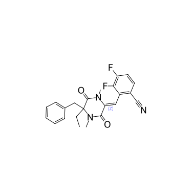 CCC1(Cc2ccccc2)C(=O)N(C)/C(=C\c2c(C#N)ccc(F)c2F)C(=O)N1C